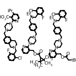 CC(C)c1ccnc(N2CCN(Cc3ccc4c(c3)CCN(Cc3c(F)cccc3Cl)C4)CC2)c1C(=O)O.CCN(Cc1ccc(CN2CCN(c3ncccc3COC(=O)C3C(C)(C)C3(C)C)CC2)cc1)Cc1c(F)cccc1Cl.CCN(Cc1ccc(CN2CCN(c3ncccc3COC(=O)CC(C)(C)C)CC2)cc1)Cc1c(F)cccc1Cl